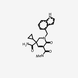 CNC(=O)C1=CC(C(N)=O)(C2CC2)CN(Cc2cccc3[nH]ccc23)C1=O